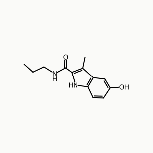 CCCNC(=O)c1[nH]c2ccc(O)cc2c1C